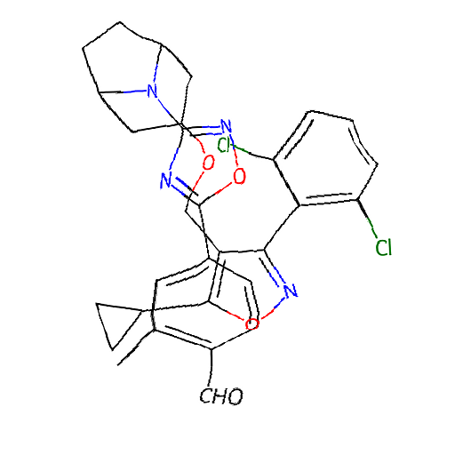 Cc1cc(-c2nc(N3C4CCC3CC(OCc3c(-c5c(Cl)cccc5Cl)noc3C3CC3)C4)no2)ccc1C=O